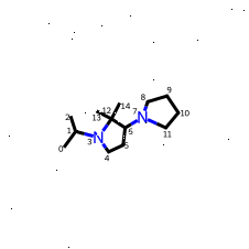 CC(C)N1CCC(N2CCCC2)C1(C)C